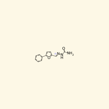 NC(=O)N/N=C/c1ccc(-c2ccccc2)o1